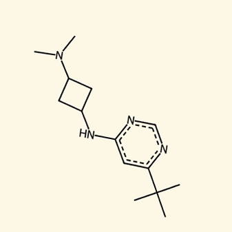 CN(C)C1CC(Nc2cc(C(C)(C)C)ncn2)C1